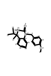 COc1ccc(CN2C(=O)NC(C)(C(C)C)c3ccccc32)cc1